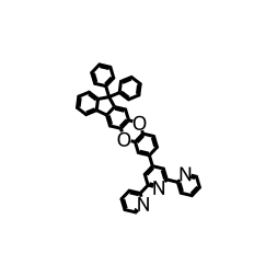 c1ccc(C2(c3ccccc3)c3ccccc3-c3cc4c(cc32)Oc2ccc(-c3cc(-c5ccccn5)nc(-c5ccccn5)c3)cc2O4)cc1